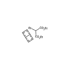 CCOC(=O)C(CC)C(=O)OCC.c1cc2ccc1-2